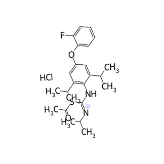 CC(=O)S/C(=N\C(C)C)Nc1c(C(C)C)cc(Oc2ccccc2F)cc1C(C)C.Cl